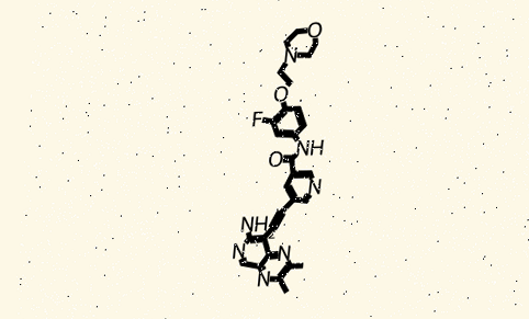 Cc1nc2cnc(N)c(C#Cc3cncc(C(=O)Nc4ccc(OCCN5CCOCC5)c(F)c4)c3)c2nc1C